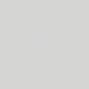 CC(=O)Nc1ccc(-c2csc3c(/C=C(/C(=O)O)C(C)(C)C)cnc(N)c23)cc1